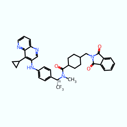 CN(C(=O)C1CCC(CN2C(=O)c3ccccc3C2=O)CC1)[C@@H](c1ccc(Nc2cnc3cccnc3c2C2CC2)cc1)C(F)(F)F